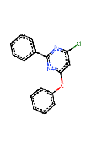 Clc1cc(Oc2ccccc2)nc(-c2ccccc2)n1